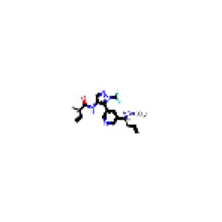 C=CC[C@H](NC(=O)O)c1cncc(-c2c(NC(=O)[C@H](C)C=C)cnn2C(F)F)c1